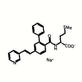 CSCC[C@H](NC(=O)c1ccc(C=Cc2cccnc2)cc1-c1ccccc1)C(=O)[O-].[Na+]